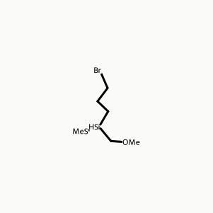 COC[SiH](CCCBr)SC